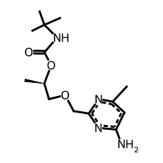 Cc1cc(N)nc(COC[C@@H](C)OC(=O)NC(C)(C)C)n1